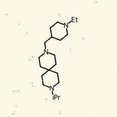 CCN1CCC(CN2CCC3(CC2)CCN(C(C)C)CC3)CC1